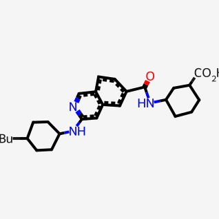 CC(C)(C)C1CCC(Nc2cc3cc(C(=O)NC4CCCC(C(=O)O)C4)ccc3cn2)CC1